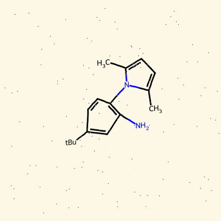 Cc1ccc(C)n1-c1ccc(C(C)(C)C)cc1N